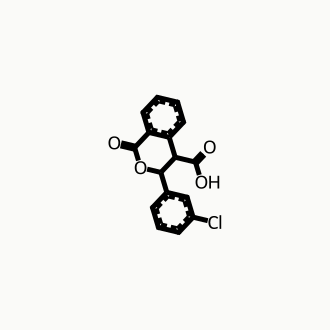 O=C1OC(c2cccc(Cl)c2)C(C(=O)O)c2ccccc21